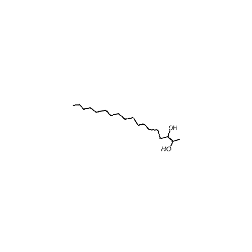 CCCCCCCCCCCCCCCC(O)C(C)O